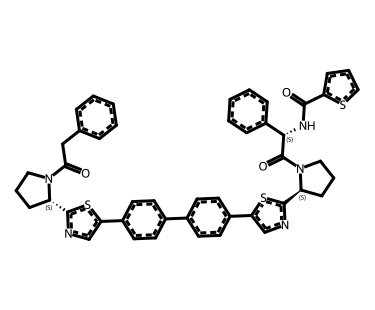 O=C(N[C@H](C(=O)N1CCC[C@H]1c1ncc(-c2ccc(-c3ccc(-c4cnc([C@@H]5CCCN5C(=O)Cc5ccccc5)s4)cc3)cc2)s1)c1ccccc1)c1cccs1